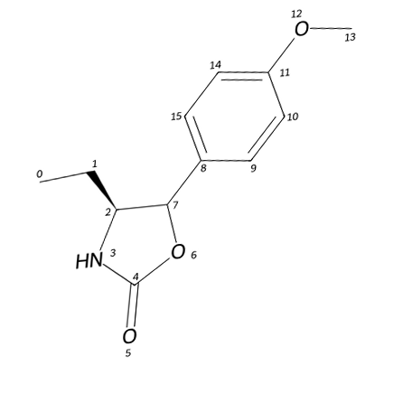 CC[C@@H]1NC(=O)OC1c1ccc(OC)cc1